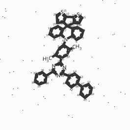 Cc1cc(N2c3ccccc3C3(c4ccccc42)c2ccsc2-c2sccc23)c(C)cc1-c1nc(-c2ccccc2)nc(-c2ccc(-c3ccccc3)cc2)n1